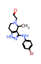 CC1c2c(Nc3ccc(Br)cc3)n[nH]c2CCN1CC=O